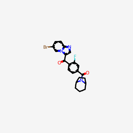 O=C(c1ccc(C(=O)N2C3CCCC2CC3)cc1F)c1cnc2ccc(Br)cn12